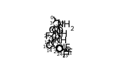 CC(C)C[C@@H](OC1NCNC(N2CCC[C@@H]2c2ccc(C(F)(F)F)cc2)C1F)C(N)=O